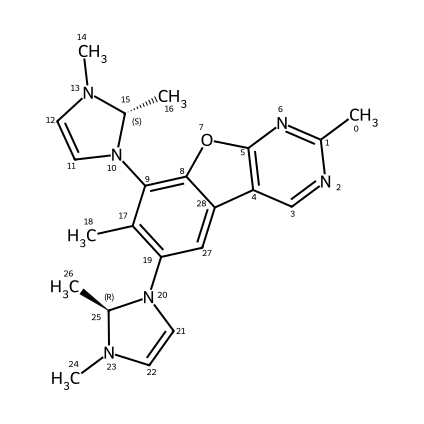 Cc1ncc2c(n1)oc1c(N3C=CN(C)[C@@H]3C)c(C)c(N3C=CN(C)[C@H]3C)cc12